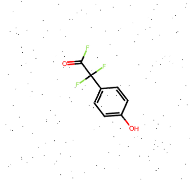 O=C(F)C(F)(F)c1ccc(O)cc1